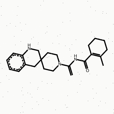 C=C(NC(=O)C1=C(C)CCCC1)N1CCC2(CC1)CNc1ccccc1C2